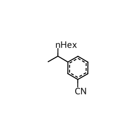 CCCCCCC(C)c1cccc(C#N)c1